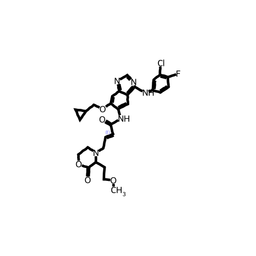 COCCC1C(=O)OCCN1C/C=C/C(=O)Nc1cc2c(Nc3ccc(F)c(Cl)c3)ncnc2cc1OCC1CC1